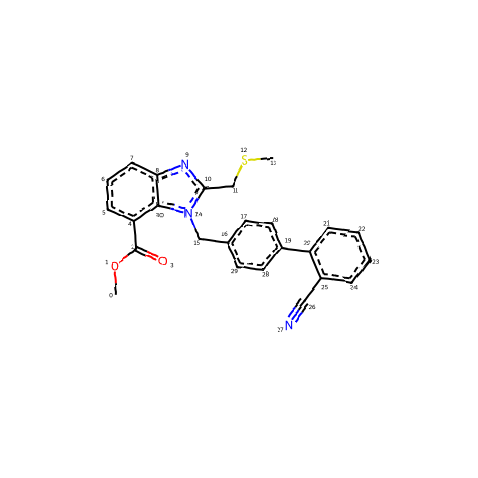 COC(=O)c1cccc2nc(CSC)n(Cc3ccc(-c4ccccc4C#N)cc3)c12